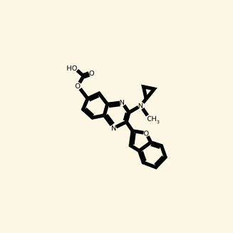 CN(c1nc2cc(OC(=O)O)ccc2nc1-c1cc2ccccc2o1)C1CC1